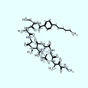 CCCCCCc1ccc(C(=O)N[C@H](CO)C(=O)N[C@H](C)C(=O)NCC(=O)N(C)C(C(=O)N[C@@H](C)C(=O)N[C@@H](CC(N)=O)C(=O)NC(C)C(=O)C(=O)NC)C(C)O)cc1